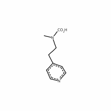 CN(CCc1ccncc1)C(=O)O